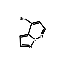 CC(C)(C)c1ccnn2nccc12